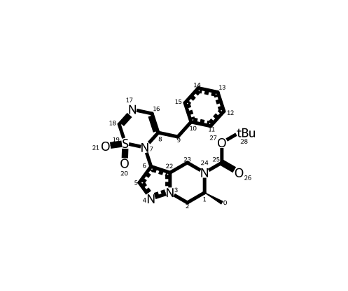 C[C@H]1Cn2ncc(N3C(Cc4ccccc4)=CN=CS3(=O)=O)c2CN1C(=O)OC(C)(C)C